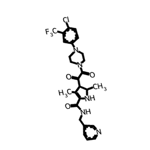 CC1=C(C(=O)NCc2cccnc2)NC(C)C1C(=O)C(=O)N1CCN(c2ccc(Cl)c(C(F)(F)F)c2)CC1